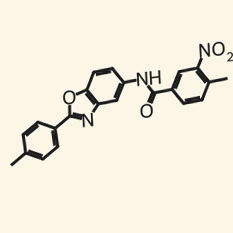 Cc1ccc(-c2nc3cc(NC(=O)c4ccc(C)c([N+](=O)[O-])c4)ccc3o2)cc1